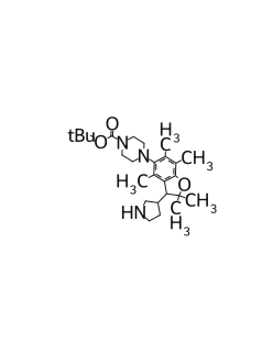 Cc1c(C)c(N2CCN(C(=O)OC(C)(C)C)CC2)c(C)c2c1OC(C)(C)C2C1CCNC1